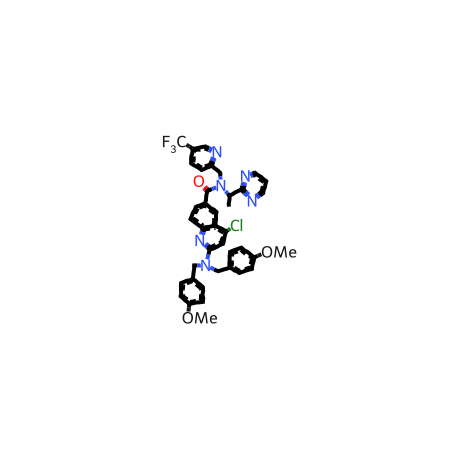 COc1ccc(CN(Cc2ccc(OC)cc2)c2cc(Cl)c3cc(C(=O)N(Cc4ccc(C(F)(F)F)cn4)C(C)c4ncccn4)ccc3n2)cc1